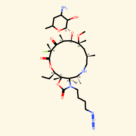 CC[C@H]1OC(=O)[C@](C)(F)C(=O)[C@@H](C)[C@@H](O[C@@H]2OC(C)CC(N)C2O)[C@](C)(OC)C[C@@H](C)CN[C@H](C)[C@H]2N(CCCCN=[N+]=[N-])C(=O)O[C@]12C